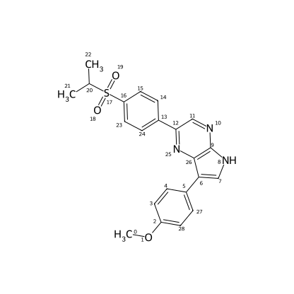 COc1ccc(-c2c[nH]c3ncc(-c4ccc(S(=O)(=O)C(C)C)cc4)nc23)cc1